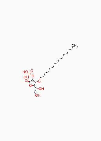 CCCCCCCCCCCCCCCOC1=C(OP(=O)(O)O)C(=O)O[C@@H]1[C@@H](O)CO